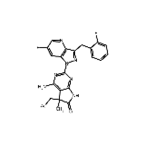 CC(=O)CC1(C)C(=O)Nc2nc(-n3nc(Cc4ccccc4F)c4ncc(F)cc43)nc(N)c21